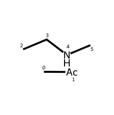 CC(C)=O.CCNC